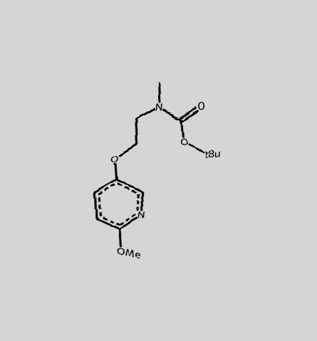 COc1ccc(OCCN(C)C(=O)OC(C)(C)C)cn1